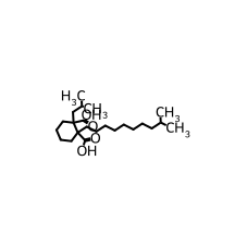 CC(C)CCCCCCCCC1(C(=O)O)CCCCC1(CC(C)C)C(=O)O